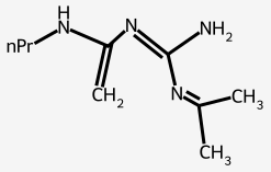 C=C(/N=C(/N)N=C(C)C)NCCC